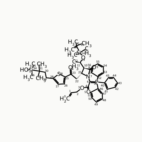 C=CCOC(=O)C(N1C(=O)[C@H]([C@@H](C)O[Si](C)(C)C(C)(C)C)[C@H]1CC(=O)c1ccc(CCC(C)(C)[Si](C)(C)O)s1)=P(c1ccccc1)(c1ccccc1)c1ccccc1